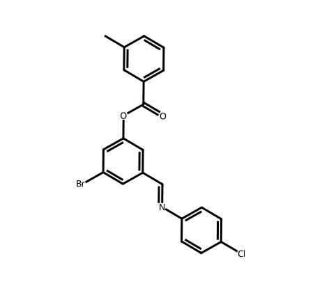 Cc1cccc(C(=O)Oc2cc(Br)cc(C=Nc3ccc(Cl)cc3)c2)c1